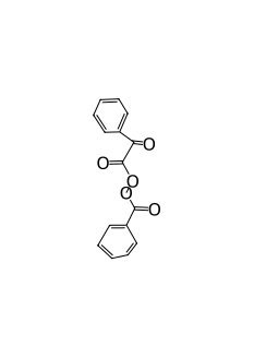 O=C(OOC(=O)c1ccccc1)C(=O)c1ccccc1